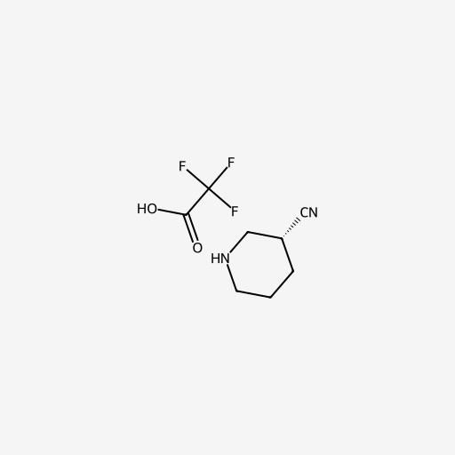 N#C[C@@H]1CCCNC1.O=C(O)C(F)(F)F